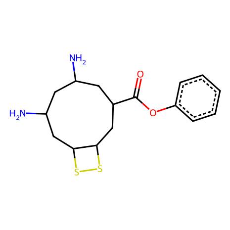 NC1CC(N)CC2SSC2CC(C(=O)Oc2ccccc2)C1